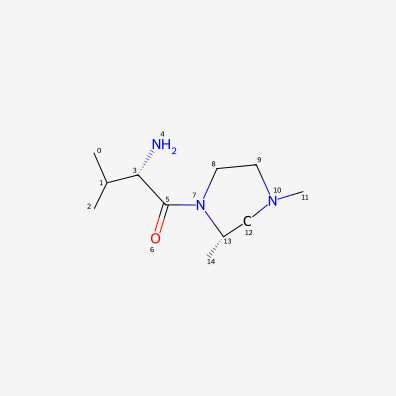 CC(C)[C@H](N)C(=O)N1CCN(C)C[C@@H]1C